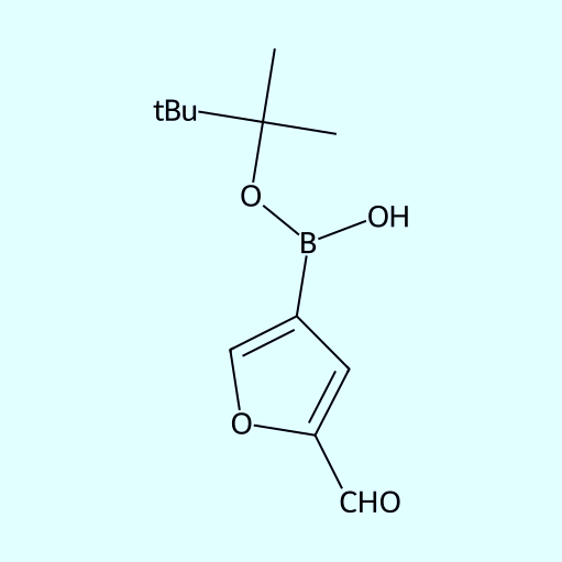 CC(C)(C)C(C)(C)OB(O)c1coc(C=O)c1